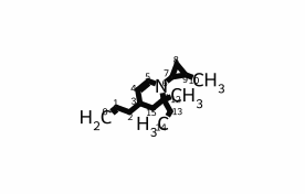 C=CCC1C=CN(C2CC2C)C(C)(CC)C1